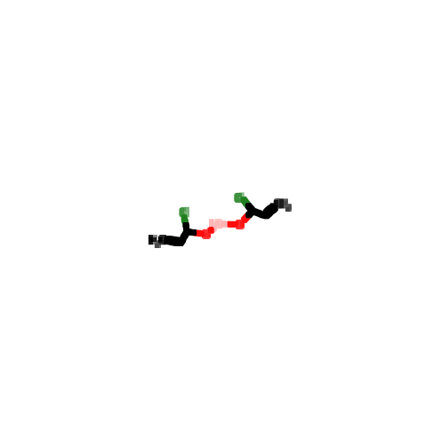 C=CC(Cl)OBOC(Cl)C=C